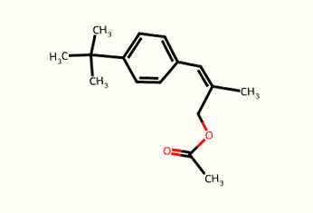 CC(=O)OCC(C)=Cc1ccc(C(C)(C)C)cc1